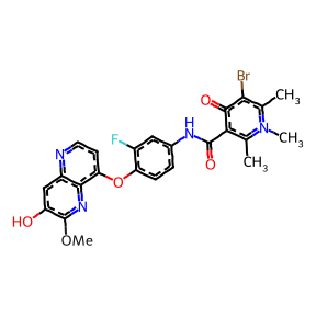 COc1nc2c(Oc3ccc(NC(=O)c4c(C)n(C)c(C)c(Br)c4=O)cc3F)ccnc2cc1O